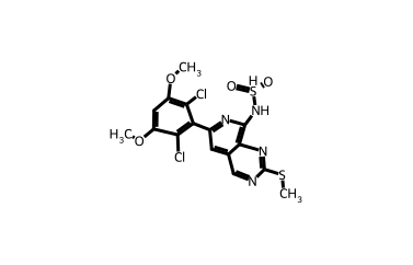 COc1cc(OC)c(Cl)c(-c2cc3cnc(SC)nc3c(N[SH](=O)=O)n2)c1Cl